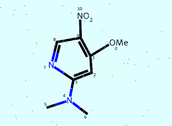 COc1cc(N(C)C)ncc1[N+](=O)[O-]